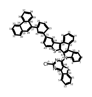 Clc1nc(-n2c3ccccc3c3c4ccccc4c4c5cc(-c6cccc(-c7cc8ccccc8c8ccccc78)c6)ccc5sc4c32)c2sc3ccccc3c2n1